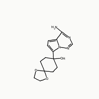 Nc1ncnn2c(C3(O)CCC4(CC3)OCCO4)ccc12